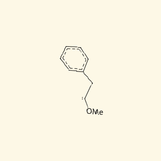 CO[C]Cc1ccccc1